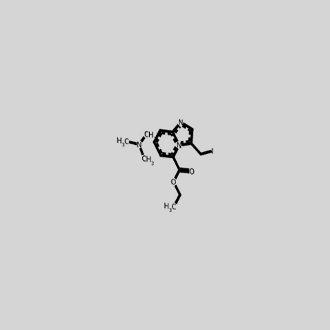 CCOC(=O)c1cccc2ncc(CI)n12.CN(C)C